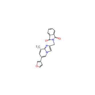 O=C1c2ccccc2C(=O)N1Cc1cn2cc(-c3ccoc3)cc(C(F)(F)F)c2n1